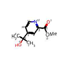 COC(=O)c1cc(C(C)(C)O)ccn1